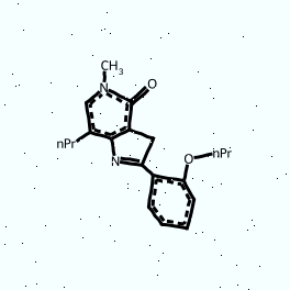 CCCOc1ccccc1C1=Nc2c(CCC)cn(C)c(=O)c2C1